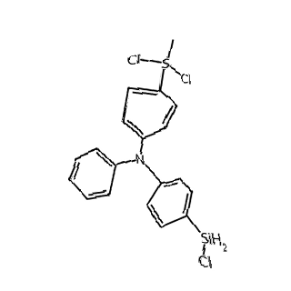 CS(Cl)(Cl)c1ccc(N(c2ccccc2)c2ccc([SiH2]Cl)cc2)cc1